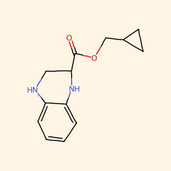 O=C(OCC1CC1)C1CNc2ccccc2N1